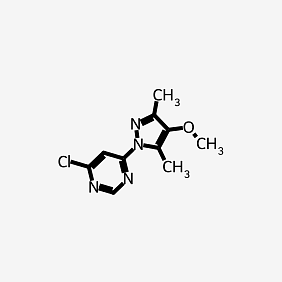 COc1c(C)nn(-c2cc(Cl)ncn2)c1C